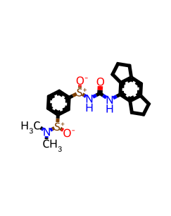 CN(C)[S+]([O-])c1cccc([S+]([O-])NC(=O)Nc2c3c(cc4c2CCC4)CCC3)c1